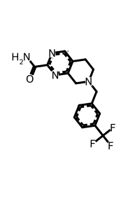 NC(=O)c1n[c]c2c(n1)CN(Cc1cccc(C(F)(F)F)c1)CC2